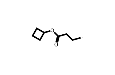 [CH2]CCC(=O)OC1CCC1